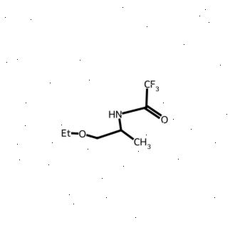 CCOCC(C)NC(=O)C(F)(F)F